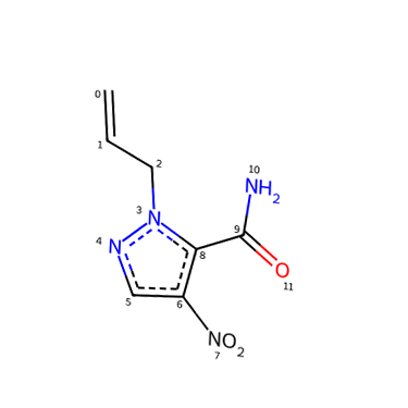 C=CCn1ncc([N+](=O)[O-])c1C(N)=O